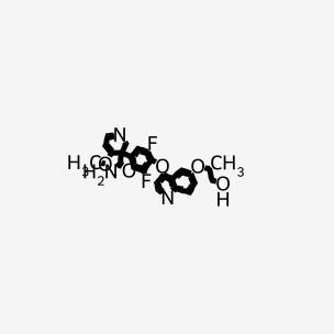 COC1=CC=NCC1(C(N)=O)c1cc(F)c(Oc2ccnc3ccc(OC(C)CO)cc23)c(F)c1